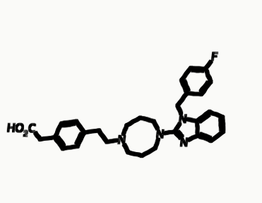 O=C(O)Cc1ccc(CCN2CCCN(c3nc4ccccc4n3Cc3ccc(F)cc3)CCC2)cc1